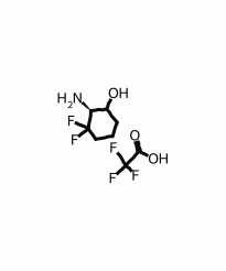 N[C@H]1C(O)CCCC1(F)F.O=C(O)C(F)(F)F